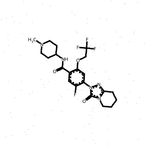 CN1CCC(NC(=O)c2cc(F)c(-n3nc4n(c3=O)CCCC4)cc2OCC(F)(F)F)CC1